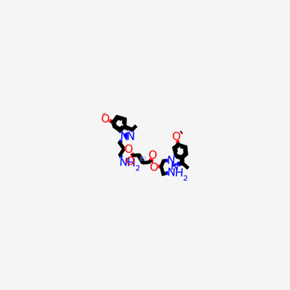 COc1ccc2c(C)nn(CC(CN)OC(=O)/C=C/C(=O)OC(CN)Cn3nc(C)c4ccc(OC)cc43)c2c1